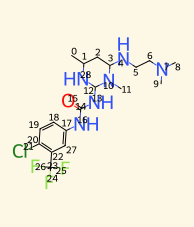 CC1CC(NCCN(C)C)N(C)C(NC(=O)Nc2ccc(Cl)c(C(F)(F)F)c2)N1